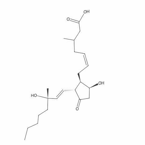 CCCCC[C@](C)(O)/C=C/[C@H]1C(=O)C[C@H](O)[C@@H]1C/C=C\CC(C)CC(=O)O